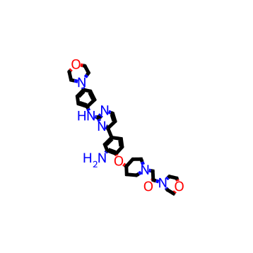 Nc1cc(-c2ccnc(Nc3ccc(N4CCOCC4)cc3)n2)ccc1OC1CCN(CC(=O)N2CCOCC2)CC1